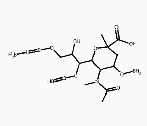 B=BOC(C(O)COB=BB)C1OC(C)(C(=O)O)CC(OB)C1N(C)C(C)=O